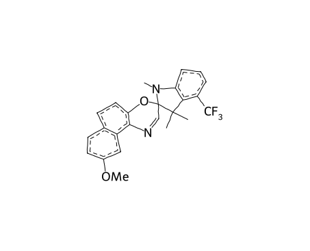 COc1ccc2ccc3c(c2c1)N=CC1(O3)N(C)c2cccc(C(F)(F)F)c2C1(C)C